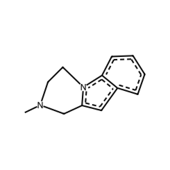 CN1CCn2c(cc3ccccc32)C1